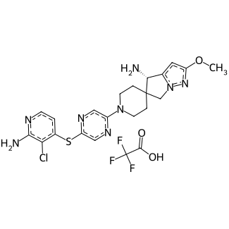 COc1cc2n(n1)CC1(CCN(c3cnc(Sc4ccnc(N)c4Cl)cn3)CC1)[C@@H]2N.O=C(O)C(F)(F)F